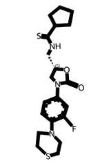 O=C1O[C@@H](CNC(=S)C2CCCC2)CN1c1ccc(N2CCSCC2)c(F)c1